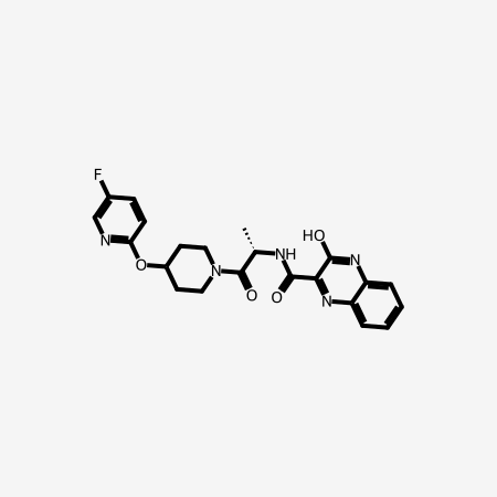 C[C@H](NC(=O)c1nc2ccccc2nc1O)C(=O)N1CCC(Oc2ccc(F)cn2)CC1